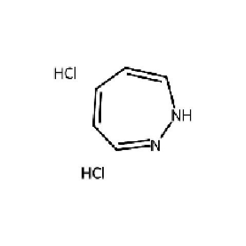 C1=CC=NNC=C1.Cl.Cl